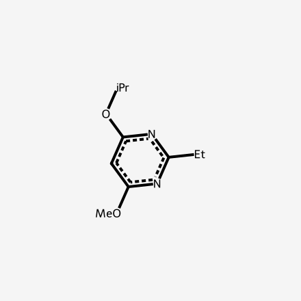 CCc1nc(OC)cc(OC(C)C)n1